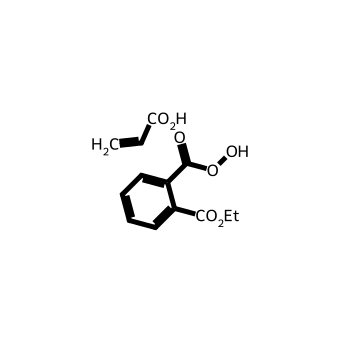 C=CC(=O)O.CCOC(=O)c1ccccc1C(=O)OO